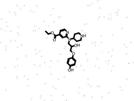 CCOC(=O)c1ccnc(N(CC(O)COc2ccc(O)cc2)C2CCNCC2)c1